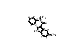 CN(C(=O)c1[c][nH]c2ccc(O)cc12)c1ccccc1